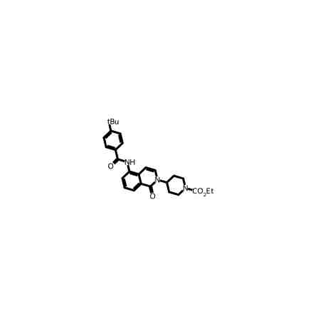 CCOC(=O)N1CCC(n2ccc3c(NC(=O)c4ccc(C(C)(C)C)cc4)cccc3c2=O)CC1